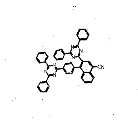 N#Cc1cc(-c2nc(-c3ccccc3)nc(-c3ccccc3)n2)c(-c2ccc(-c3nc(-c4ccccc4)nc(-c4ccccc4)n3)cc2)c2ccccc12